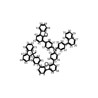 CC1(c2ccc(-c3cccc4c3oc3c(-c5ccc(N(c6ccc(-c7cccc8ccccc78)cc6)c6ccc(-c7cccc8c7oc7ccccc78)cc6)cc5)cccc34)cc2)c2ccccc2-c2ccccc21